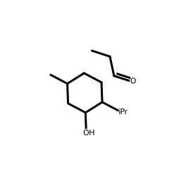 CC1CCC(C(C)C)C(O)C1.CCC=O